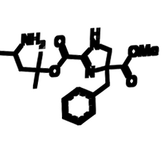 COC(=O)C1(Cc2ccccc2)CNC(C(=O)OC(C)(C)CC(C)N)=N1